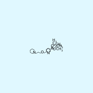 CC1(C)OB(c2ccc(COCCCN3CCCCC3)nc2)OC1(C)C